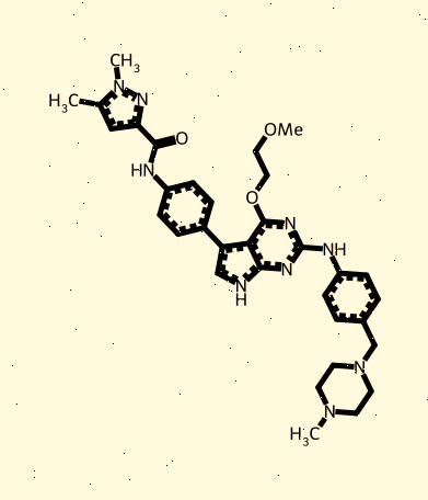 COCCOc1nc(Nc2ccc(CN3CCN(C)CC3)cc2)nc2[nH]cc(-c3ccc(NC(=O)c4cc(C)n(C)n4)cc3)c12